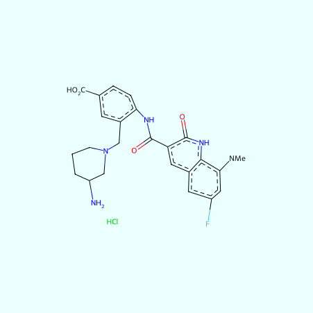 CNc1cc(F)cc2cc(C(=O)Nc3ccc(C(=O)O)cc3CN3CCCC(N)C3)c(=O)[nH]c12.Cl